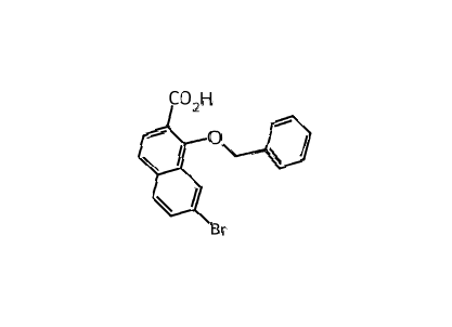 O=C(O)c1ccc2ccc(Br)cc2c1OCc1ccccc1